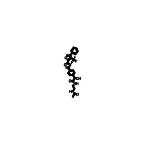 CC(=O)NCCNC(=O)C(O)c1ccc(-c2noc(-c3onc(-c4ccccc4)c3C(F)(F)F)n2)cc1